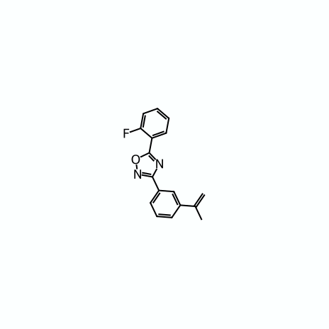 C=C(C)c1cccc(-c2noc(-c3ccccc3F)n2)c1